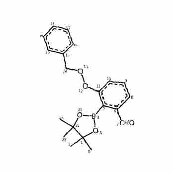 CC1(C)OB(c2c(C=O)cccc2OOCc2ccccc2)OC1(C)C